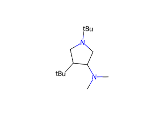 CN(C)C1CN(C(C)(C)C)CC1C(C)(C)C